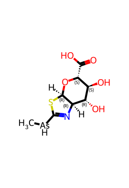 C[AsH]C1=N[C@@H]2[C@@H](O)[C@H](O)[C@@H](C(=O)O)O[C@@H]2S1